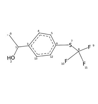 [CH2]C(O)c1ccc(SC(F)(F)F)cc1